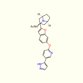 CC(=O)N[C@H]1C[C@H]2CC[C@@H](C1)N2Cc1cc2ccc(Oc3ccc(-c4ccn[nH]4)cn3)cc2o1